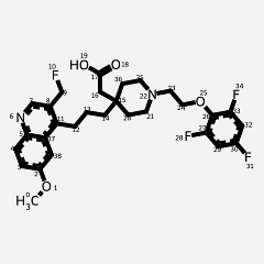 COc1ccc2ncc(CF)c(CCCC3(CC(=O)O)CCN(CCOc4c(F)cc(F)cc4F)CC3)c2c1